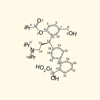 CC(C)C(=O)Oc1ccc(CO)cc1[C@H](CCN(C(C)C)C(C)C)c1ccccc1.O=C(O)C(O)c1ccccc1